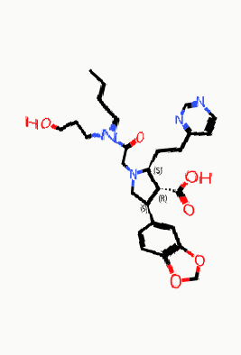 CCCCN(CCCO)C(=O)CN1C[C@H](c2ccc3c(c2)OCO3)[C@@H](C(=O)O)[C@@H]1CCc1ccncn1